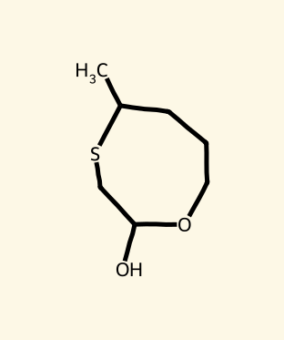 CC1CCCOC(O)CS1